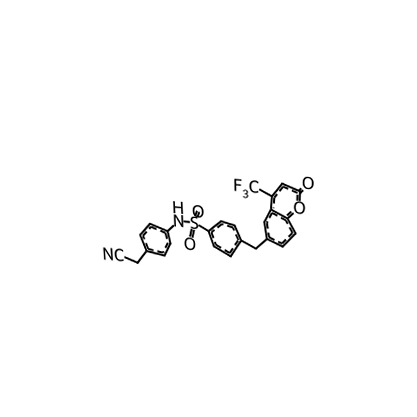 N#CCc1ccc(NS(=O)(=O)c2ccc(Cc3ccc4oc(=O)cc(C(F)(F)F)c4c3)cc2)cc1